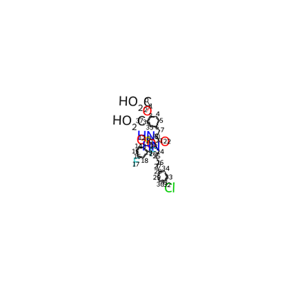 O=C(O)COc1ccc(C[C@H](NS(=O)(=O)c2ccc(F)cc2F)C(=O)NCCCCc2ccc(Cl)cc2)cc1C(=O)O